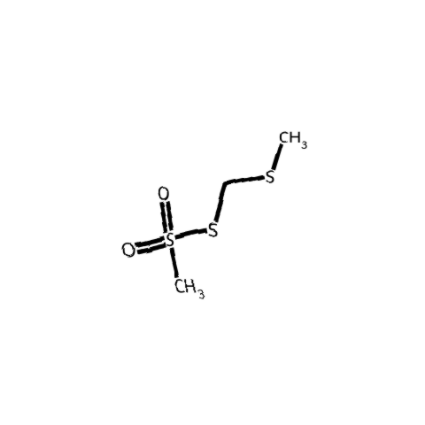 CSCSS(C)(=O)=O